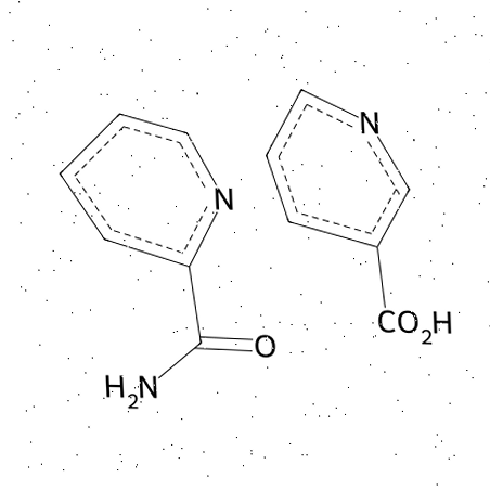 NC(=O)c1ccccn1.O=C(O)c1cccnc1